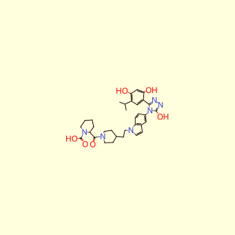 CC(C)c1cc(-c2nnc(O)n2-c2ccc3c(ccn3CCC3CCN(C(=O)C4CCCCN4C(=O)O)CC3)c2)c(O)cc1O